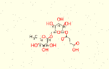 C[C@@H]1O[C@@H](OC[C@H]2O[C@@H](OC(=O)CCC(=O)O)[C@H](O)[C@@H](O)[C@@H]2O)[C@H](O)[C@H](O)[C@H]1O